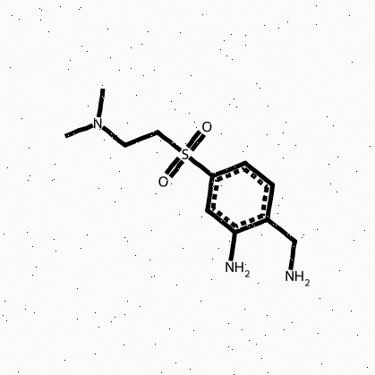 CN(C)CCS(=O)(=O)c1ccc(CN)c(N)c1